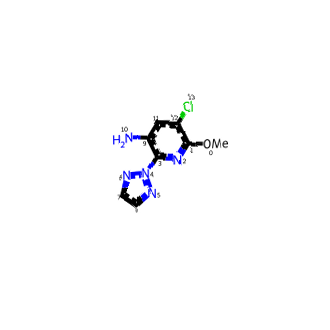 COc1nc(-n2nccn2)c(N)cc1Cl